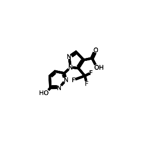 O=C(O)c1cnn(-c2ccc(O)nn2)c1C(F)(F)F